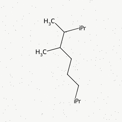 C[C](C(C)C)C(C)CCCC(C)C